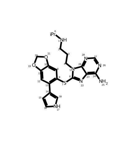 CC(C)NCCCn1c(Sc2cc3c(cc2-c2cc[nH]c2)OCO3)nc2c(N)ncnc21